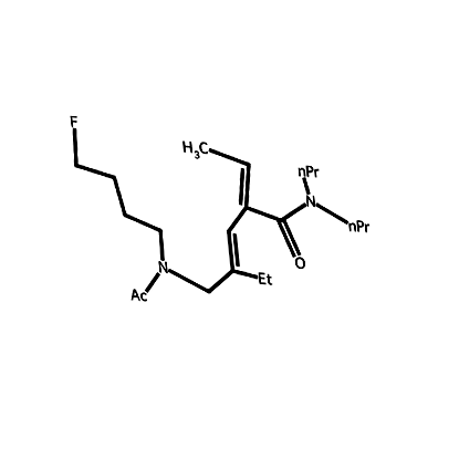 C/C=C(\C=C(/CC)CN(CCCCF)C(C)=O)C(=O)N(CCC)CCC